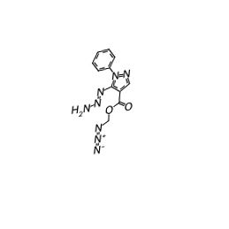 [N-]=[N+]=NCOC(=O)c1cnn(-c2ccccc2)c1N=NN